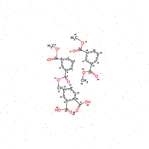 COC(=O)c1cccc(C(=O)OC)c1.COC(=O)c1cccc(C(=O)OC)c1.O=C(O)c1ccccc1C(=O)O